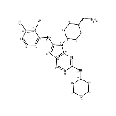 NC[C@H]1CC[C@H](n2c(Nc3cccc(Cl)c3F)nc3cnc(NC4CCOCC4)nc32)CC1